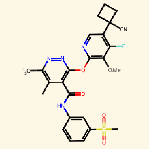 COc1c(Oc2nnc(C(F)(F)F)c(C)c2C(=O)Nc2cccc(S(C)(=O)=O)c2)ncc(C2(C#N)CCC2)c1F